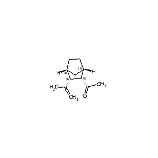 C=C(C)[C@@H]1[C@@H]2CC[C@@H](C2)[C@@H]1C(C)=O